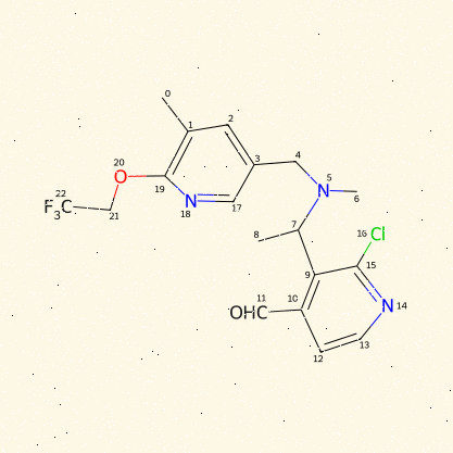 Cc1cc(CN(C)C(C)c2c(C=O)ccnc2Cl)cnc1OCC(F)(F)F